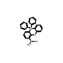 OB(O)c1cccc2c1Oc1ccccc1[Si]2(c1ccccc1)c1ccccc1